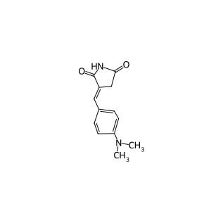 CN(C)c1ccc(/C=C2\CC(=O)NC2=O)cc1